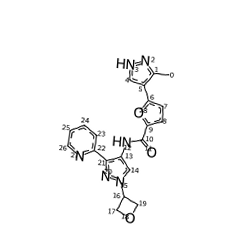 Cc1n[nH]cc1-c1ccc(C(=O)Nc2cn(C3COC3)nc2-c2ccccn2)o1